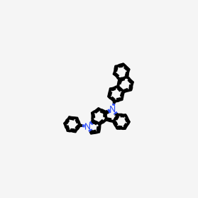 c1ccc(-n2ccc3c4c5ccccc5n(-c5ccc6c(ccc7ccccc76)c5)c4ccc32)cc1